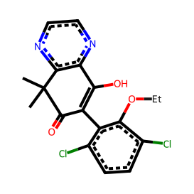 CCOc1c(Cl)ccc(Cl)c1C1=C(O)c2nccnc2C(C)(C)C1=O